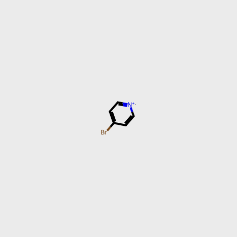 BrC1=CC=[N+]C=C1